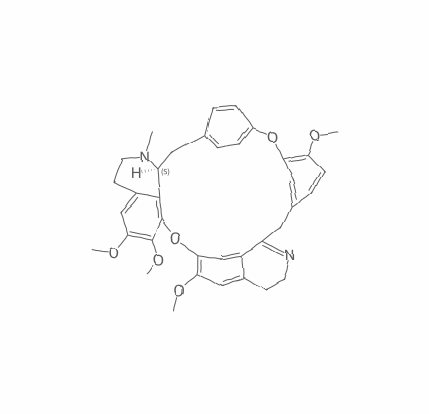 COc1ccc2cc1Oc1ccc(cc1)C[C@H]1c3c(cc(OC)c(OC)c3Oc3cc4c(cc3OC)CCN=C4C2)CCN1C